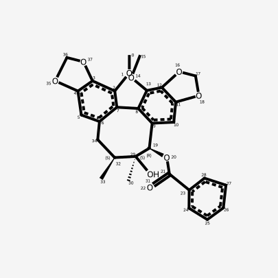 COc1c2c(cc3c1-c1c(cc4c(c1OC)OCO4)[C@@H](OC(=O)c1ccccc1)[C@@](C)(O)[C@@H](C)C3)OCO2